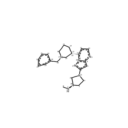 CN[C@@H]1CCN(c2cc3nccc([C@H]4CCCN(Cc5ccccc5)C4)n3n2)C1